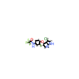 O=C(Nc1ccc(Oc2ccnc3[nH]cc(Cl)c23)c(F)c1)C(F)(F)F